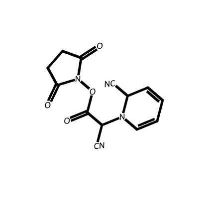 N#CC1C=CC=CN1C(C#N)C(=O)ON1C(=O)CCC1=O